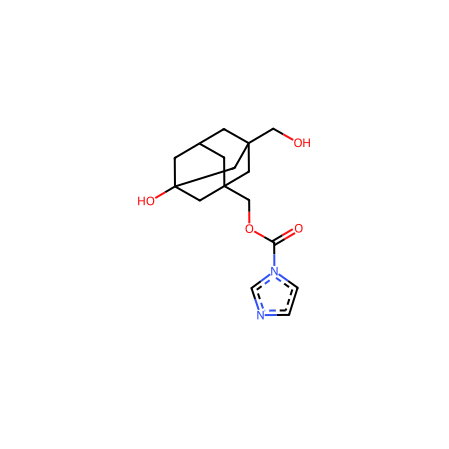 O=C(OCC12CC3CC(O)(CC(CO)(C3)C1)C2)n1ccnc1